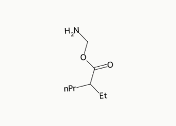 CCCC(CC)C(=O)OCN